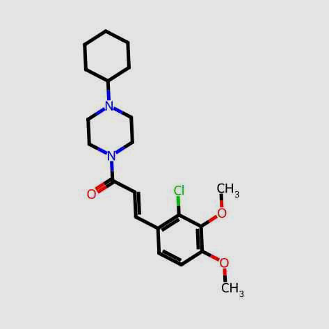 COc1ccc(C=CC(=O)N2CCN(C3CCCCC3)CC2)c(Cl)c1OC